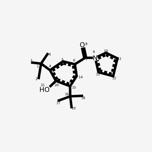 CC(C)(C)c1cc(C(=O)n2cccc2)cc(C(C)(C)C)c1O